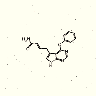 NC(=O)C=CCc1c[nH]c2ncnc(Oc3ccccc3)c12